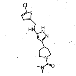 CN(C)C(=O)N1CCC(c2cc(NCc3ccc(Cl)s3)[nH]n2)CC1